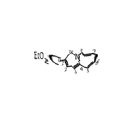 CCOC(=O)C1=CC=C2C=CC=CN2C1